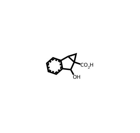 O=C(O)C12CC1c1ccccc1C2O